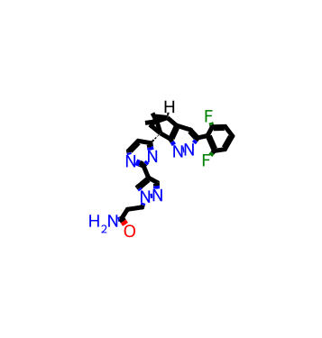 CC1(C)[C@H]2CC[C@]1(c1ccnc(-c3cnn(CCC(N)=O)c3)n1)c1nnc(-c3c(F)cccc3F)cc12